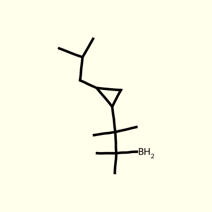 BC(C)(C)C(C)(C)C1CC1CC(C)C